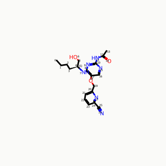 CCCC[C@@H](CO)Nc1nc(NC(C)=O)ncc1OCc1cccc(C#N)n1